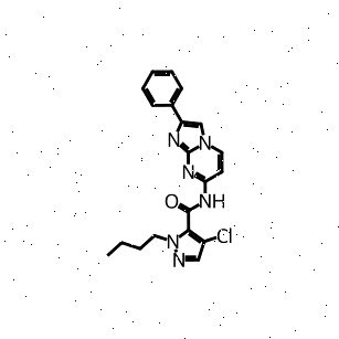 CCCCn1ncc(Cl)c1C(=O)Nc1ccn2cc(-c3ccccc3)nc2n1